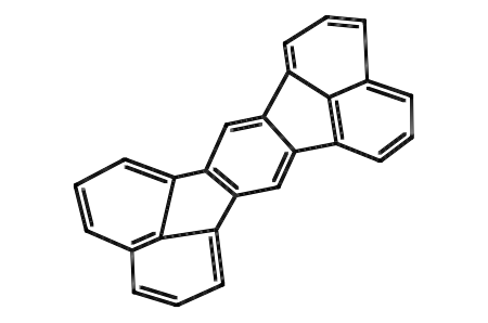 c1cc2cccc3c4cc5c(cc4c(c1)c23)c1cccc2cccc5c21